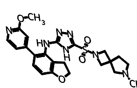 COc1cc(-c2ccc3c(c2Nc2nnc(S(=O)(=O)N4CC5(CCN(C)C5)C4)[nH]2)CCO3)ccn1